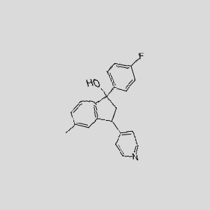 Cc1ccc2c(c1)C(c1ccncc1)CC2(O)c1ccc(F)cc1